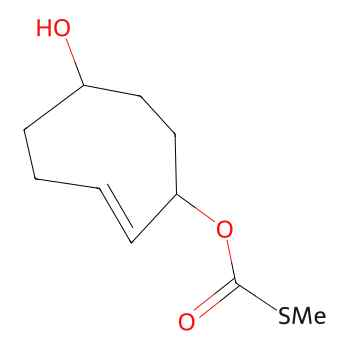 CSC(=O)OC1/C=C/CCC(O)CC1